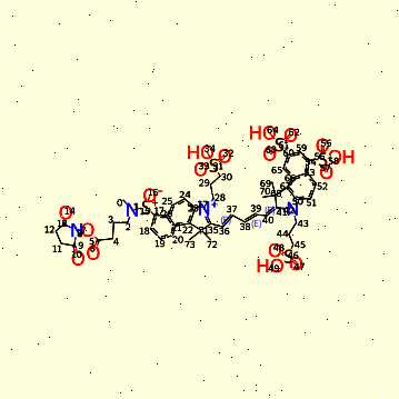 CN(CCCC(=O)ON1C(=O)CCC1=O)[S+]([O-])c1cccc2c3c(ccc12)[N+](CCCS(=O)(=O)O)=C(/C=C/C=C/C=C1/N(CCCS(=O)(=O)O)c2ccc4c(S(=O)(=O)O)cc(S(=O)(=O)O)cc4c2C1(C)C)C3(C)C